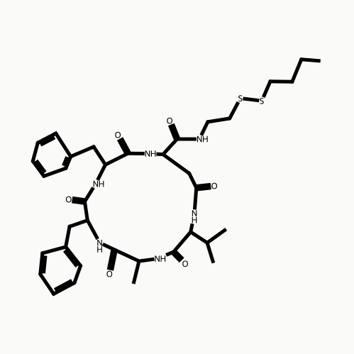 CCCCSSCCNC(=O)C1CC(=O)NC(C(C)C)C(=O)NC(C)C(=O)NC(Cc2ccccc2)C(=O)NC(Cc2ccccc2)C(=O)N1